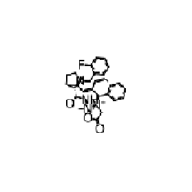 C=C(C)/C=C(\C=C/C)C(/c1ccccc1)=[N+]1/CC(=O)O[N@+]1(C)NC(=O)[C@@H]1CCCN1Cc1ccccc1F